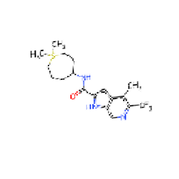 Cc1c(C(F)(F)F)ncc2[nH]c(C(=O)NC3CCCS(C)(C)CC3)cc12